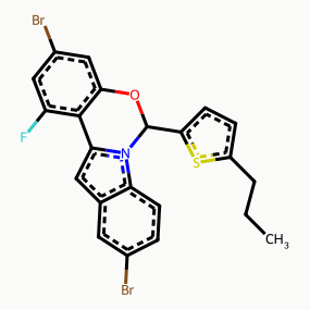 CCCc1ccc(C2Oc3cc(Br)cc(F)c3-c3cc4cc(Br)ccc4n32)s1